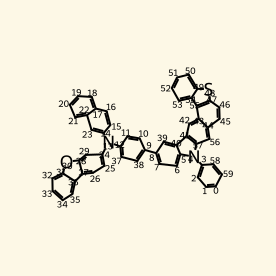 c1ccc(-n2c3ccc(-c4ccc(N(c5ccc6ccccc6c5)c5ccc6c(c5)oc5ccccc56)cc4)cc3c3cc4c(ccc5sc6ccccc6c54)cc32)cc1